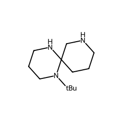 CC(C)(C)N1CCCNC12CCCNC2